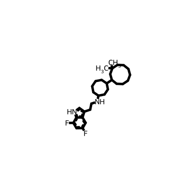 CC1(C)CCCCCCCC(C2CCCCC(NCCc3c[nH]c4c(F)cc(F)cc34)CC2)C1